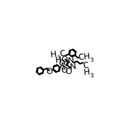 CCCCc1nc(=O)c(S(=O)(=O)c2ccc(OCc3ccccc3)cc2)c(O)n1-c1c(CC)cccc1CC